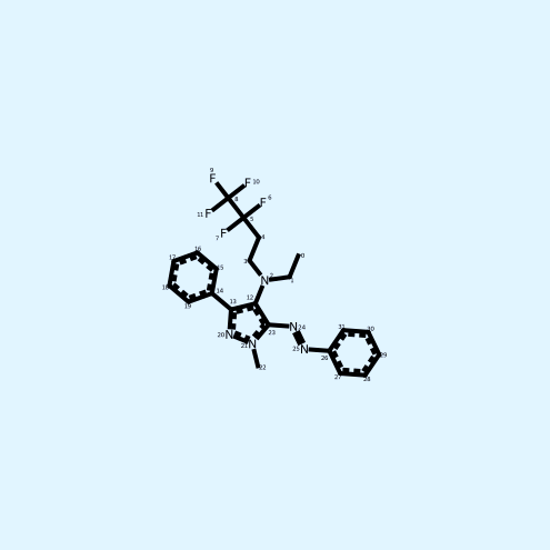 CCN(CCC(F)(F)C(F)(F)F)c1c(-c2ccccc2)nn(C)c1N=Nc1ccccc1